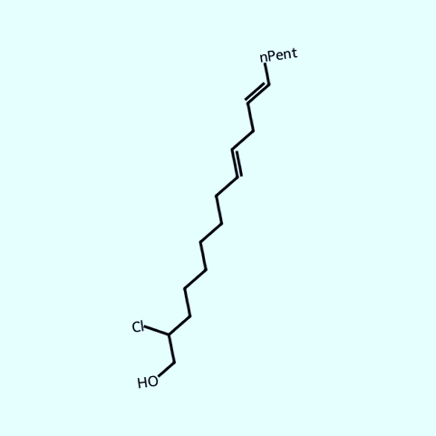 CCCCCC=CCC=CCCCCCCC(Cl)CO